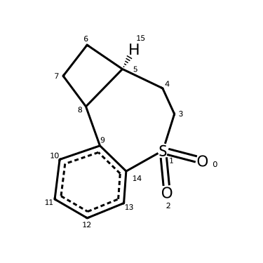 O=S1(=O)CC[C@@H]2CCC2c2ccccc21